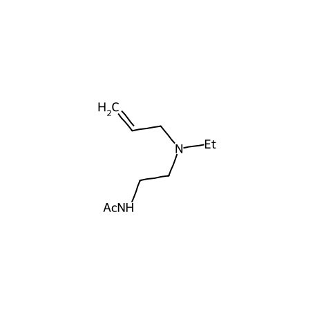 C=CCN(CC)CCNC(C)=O